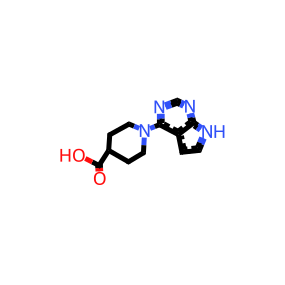 O=C(O)C1CCN(c2ncnc3[nH]ccc23)CC1